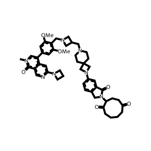 COc1cc(-c2cn(C)c(=O)c3cnc(N4CCC4)cc23)cc(OC)c1CN1CC(CN2CCC3(CC2)CN(c2ccc4c(c2)C(=O)N(C2CCC(=O)CCCCC2=O)C4)C3)C1